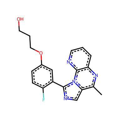 Cc1nc2cccnc2n2c(-c3cc(OCCCO)ccc3F)ncc12